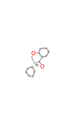 O=C1c2ccccc2OC[C@H]1c1ccccc1